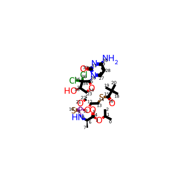 CC(C)OC(=O)[C@@H](C)N[P@](=S)(OCCSC(=O)C(C)(C)C)OC[C@H]1O[C@@H](n2ccc(N)nc2=O)C(Cl)(Cl)[C@@H]1O